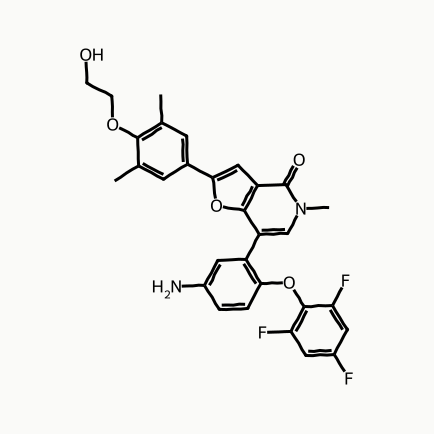 Cc1cc(-c2cc3c(=O)n(C)cc(-c4cc(N)ccc4Oc4c(F)cc(F)cc4F)c3o2)cc(C)c1OCCO